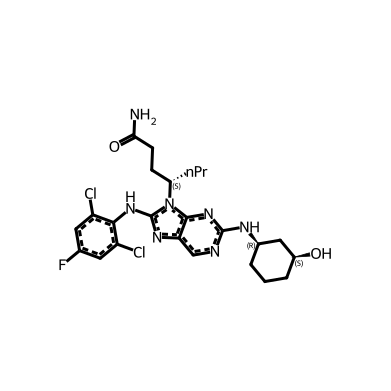 CCC[C@@H](CCC(N)=O)n1c(Nc2c(Cl)cc(F)cc2Cl)nc2cnc(N[C@@H]3CCC[C@H](O)C3)nc21